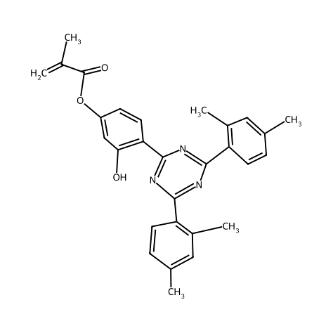 C=C(C)C(=O)Oc1ccc(-c2nc(-c3ccc(C)cc3C)nc(-c3ccc(C)cc3C)n2)c(O)c1